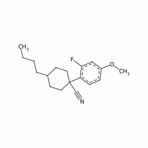 CCCCC1CCC(C#N)(c2ccc(OC)cc2F)CC1